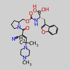 CN1CCN(C(C)(C)C=C(C#N)C(=O)N2CCCC2COC(=O)N[C@@H](Cc2coc3ccccc23)B(O)O)CC1